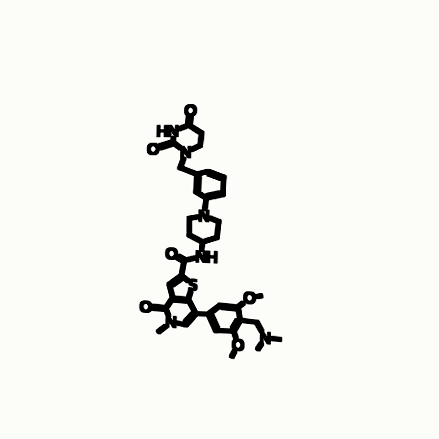 COc1cc(-c2cn(C)c(=O)c3cc(C(=O)NC4CCN(c5cccc(CN6CCC(=O)NC6=O)c5)CC4)sc23)cc(OC)c1CN(C)C